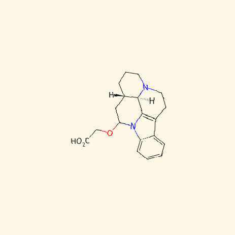 O=C(O)COC1C[C@@H]2CCCN3CCc4c(n1c1ccccc41)[C@@H]23